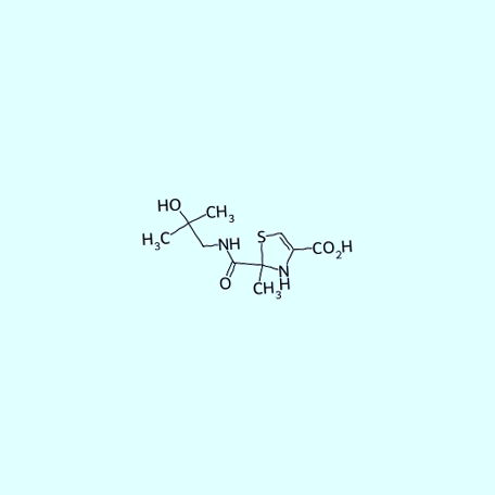 CC(C)(O)CNC(=O)C1(C)NC(C(=O)O)=CS1